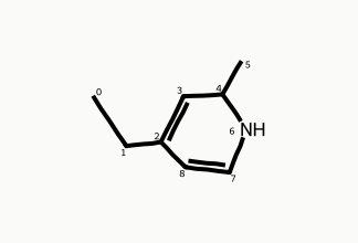 CCC1=CC(C)NC=C1